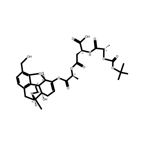 C[C@H](OC(=O)OC(C)(C)C)C(=O)N[C@@H](CC(=O)O[C@@H](C)C(=O)OC1=CC[C@@]2(O)[C@H]3Cc4ccc(CO)c5c4[C@@]2(CCN3C)[C@H]1O5)C(=O)O